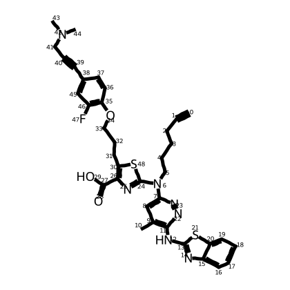 C#CCCCCN(c1cc(C)c(Nc2nc3ccccc3s2)nn1)c1nc(C(=O)O)c(CCCOc2ccc(C#CCN(C)C)cc2F)s1